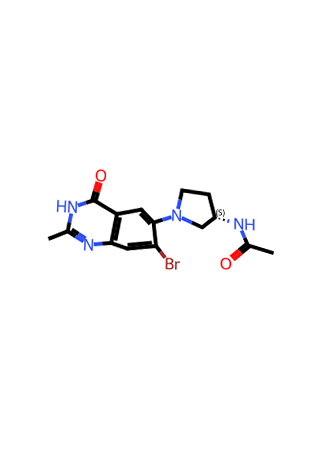 CC(=O)N[C@H]1CCN(c2cc3c(=O)[nH]c(C)nc3cc2Br)C1